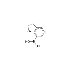 OB(O)c1cncc2c1OCC2